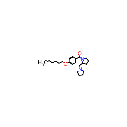 CCCCCCOc1ccc(C(=O)N2CCCC2CN2CCCC2)cc1